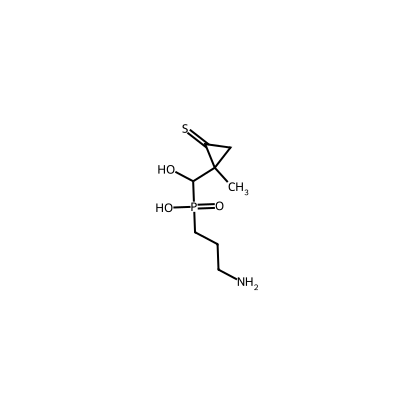 CC1(C(O)P(=O)(O)CCCN)CC1=S